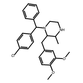 COc1ccc(CC2C(C)NCCN2C(c2ccccc2)c2ccc(Cl)cc2)cc1OC